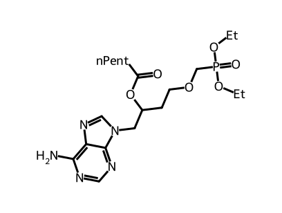 CCCCCC(=O)OC(CCOCP(=O)(OCC)OCC)Cn1cnc2c(N)ncnc21